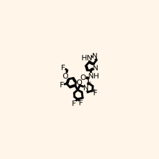 O=C(Nc1ccc2[nH]ncc2n1)[C@H]1C[C@@H](F)CN1C(=O)C1(c2ccc(OCF)c(F)c2)CCC(F)(F)CC1